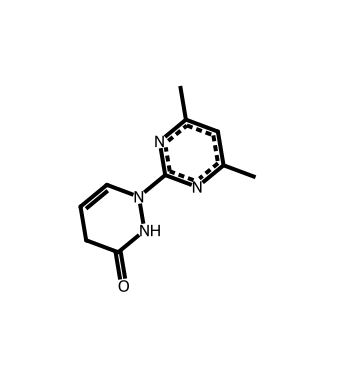 Cc1cc(C)nc(N2C=CCC(=O)N2)n1